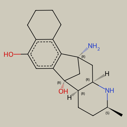 C[C@H]1CC[C@@H]2[C@@H](C[C@@]3(N)C[C@]2(O)c2cc(O)c4c(c23)CCCC4)N1